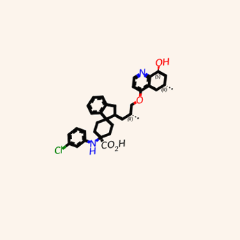 C[C@@H]1Cc2c(OC[C@H](C)CC3Cc4ccccc4C34CCC(Nc3cccc(Cl)c3)(C(=O)O)CC4)ccnc2[C@@H](O)C1